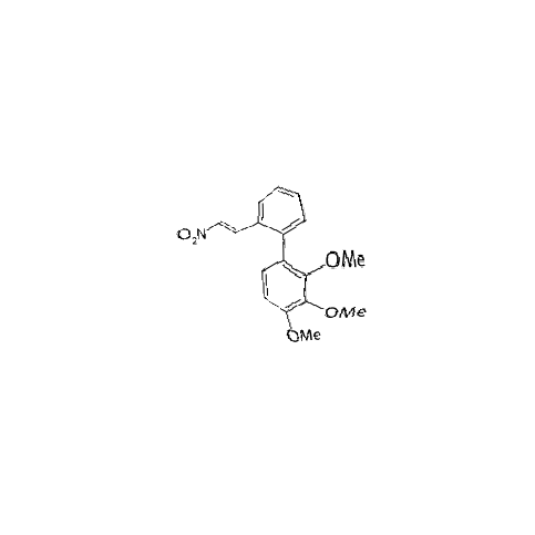 COc1ccc(-c2ccccc2C=C[N+](=O)[O-])c(OC)c1OC